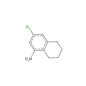 O=[N+]([O-])c1cc(Cl)cc2c1CCCC2